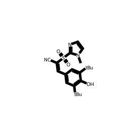 Cn1ccnc1S(=O)(=O)C(C#N)=Cc1cc(C(C)(C)C)c(O)c(C(C)(C)C)c1